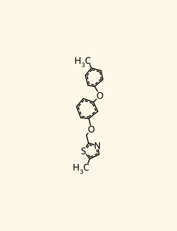 Cc1ccc(Oc2cccc(OCc3ncc(C)s3)c2)cc1